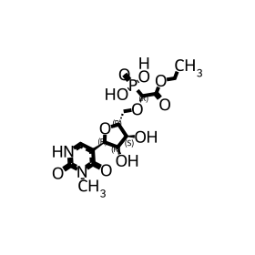 CCOC(=O)[C@H](OC[C@H]1O[C@H](c2c[nH]c(=O)n(C)c2=O)[C@H](O)[C@@H]1O)P(=O)(O)O